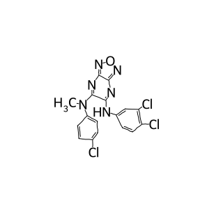 CN(c1ccc(Cl)cc1)c1nc2nonc2nc1Nc1ccc(Cl)c(Cl)c1